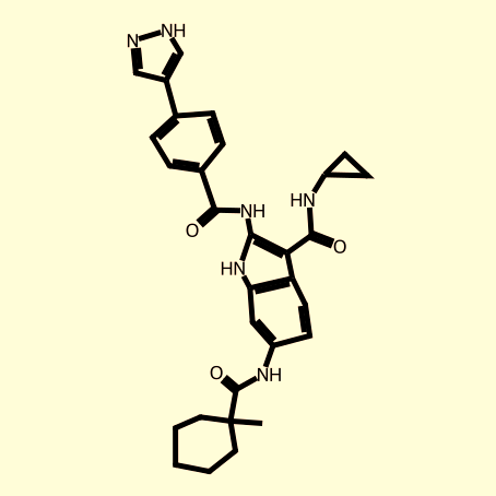 CC1(C(=O)Nc2ccc3c(C(=O)NC4CC4)c(NC(=O)c4ccc(-c5cn[nH]c5)cc4)[nH]c3c2)CCCCC1